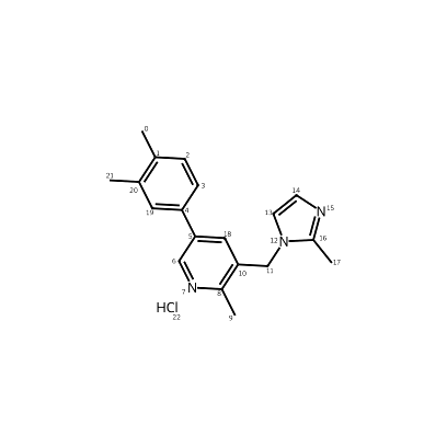 Cc1ccc(-c2cnc(C)c(Cn3ccnc3C)c2)cc1C.Cl